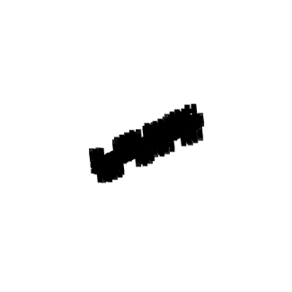 C[SiH2]O[SiH](C)O[SiH](C)O[SiH](C)O[SiH](C)O[SiH](C)O[SiH](C)O[SiH](C)O[SiH](C)O[SiH](C)O[SiH](C)O[SiH](C)O[SiH](C)O[SiH](C)O[SiH](C)O[SiH](C)O[SiH](C)O[SiH](C)O[SiH](C)O[SiH](C)O[SiH](C)O[SiH](C)O[SiH](C)O[SiH](C)O[SiH](C)O[SiH](C)O[SiH](C)O[SiH](C)O[SiH](C)O[SiH](C)O[SiH](C)O[SiH](C)O[SiH](C)O[SiH](C)O[SiH](C)O[SiH](C)O[SiH](C)O[SiH](C)O[SiH](C)O[SiH](C)O[Si](C)(C)C